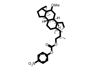 COC1C[C@H]2[C@@H]3CC[C@H]([C@H](C)COC(=O)Oc4ccc([N+](=O)[O-])cc4)[C@@]3(C)CC[C@@H]2[C@@]2(C)CCC3C[C@]312